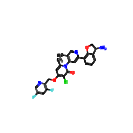 Cc1cnc(-c2cccc3c2OCC3N)cc1-n1c(C)cc(OCc2ncc(F)cc2F)c(Cl)c1=O